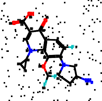 NC1CCN(c2c(F)cc3c(=O)c(C(=O)O)cn(C4CC4)c3c2OC(F)F)C1